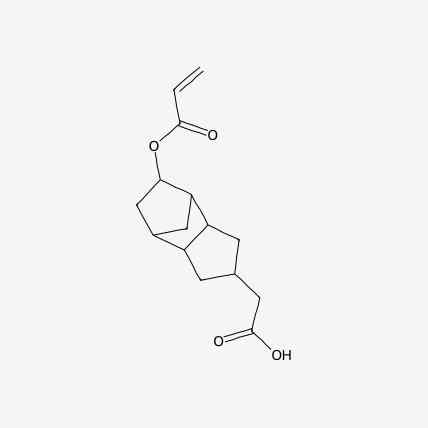 C=CC(=O)OC1CC2CC1C1CC(CC(=O)O)CC21